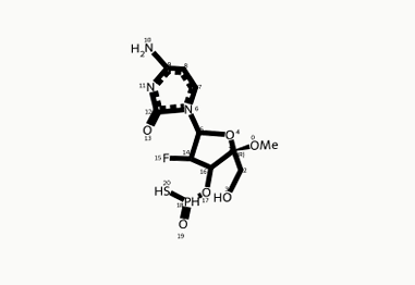 CO[C@]1(CO)OC(n2ccc(N)nc2=O)C(F)C1O[PH](=O)S